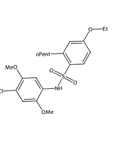 CCCCCc1cc(OCC)ccc1S(=O)(=O)Nc1cc(OC)c(Cl)cc1OC